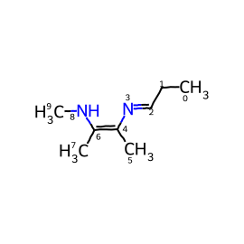 CC/C=N/C(C)=C(/C)NC